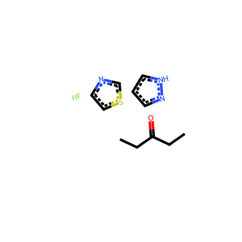 CCC(=O)CC.F.c1cn[nH]c1.c1cscn1